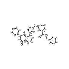 O=C(OCc1ccncc1)c1cccc(Cn2cc(-c3cccc4c(=O)cc(N5CCOCC5)[nH]c34)nn2)c1